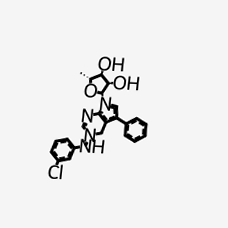 C[C@H]1O[C@@H](n2cc(-c3ccccc3)c3c2N=CN(Nc2cccc(Cl)c2)C3)[C@H](O)[C@@H]1O